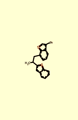 CC(C)c1csc2c(CC(C)c3cc4ccccc4s3)cccc12